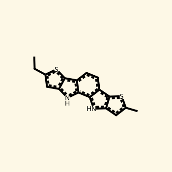 CCc1cc2[nH]c3c(ccc4c3[nH]c3cc(C)sc34)c2s1